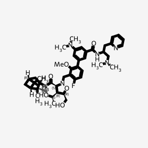 COc1c(-c2cc(C(=O)NC(Cc3ccccn3)CN(C)C)cc(N(C)C)c2)ccc(F)c1CN1O[C@@H](CO)[C@@H]([C@H](C)O)[C@H]1C(=O)N[C@H]1C[C@H]2C[C@@H]([C@@H]1C)C2(C)C